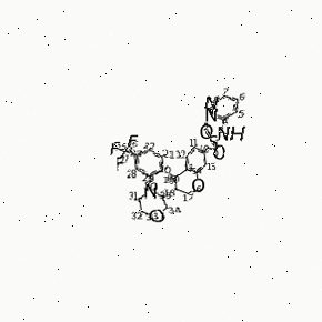 O=S(=O)(Nc1cccnn1)c1ccc2c(c1)OCC[C@@H]2c1ccc(C(F)(F)F)cc1N1CCOCC1